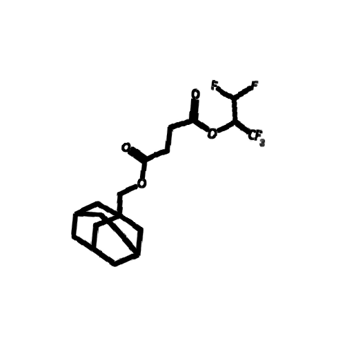 O=C(CCC(=O)OC(C(F)F)C(F)(F)F)OCC12CC3CC(CC(C3)C1)C2